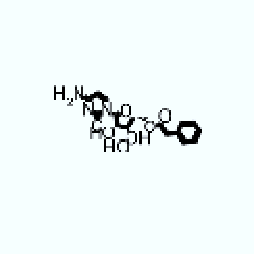 Cl.Nc1ccn([C@@H]2O[C@H](COC(=O)Cc3ccccc3)[C@@H](O)[C@@H]2O)c(=O)n1